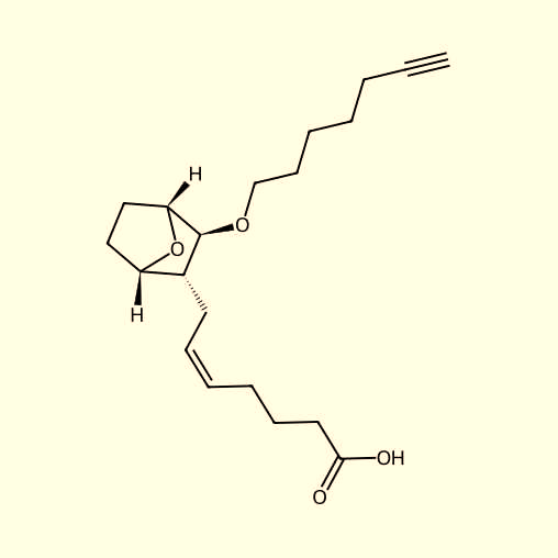 C#CCCCCCO[C@H]1[C@H](C/C=C\CCCC(=O)O)[C@@H]2CC[C@H]1O2